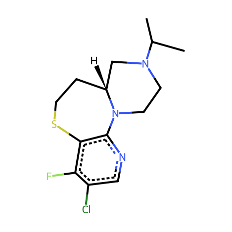 CC(C)N1CCN2c3ncc(Cl)c(F)c3SCC[C@@H]2C1